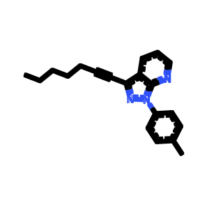 CCCCCC#Cc1nn(-c2ccc(C)cc2)c2ncccc12